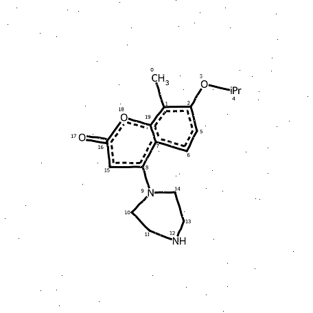 Cc1c(OC(C)C)ccc2c(N3CCNCC3)cc(=O)oc12